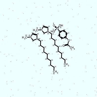 CC(=O)Oc1ccc(P(=O)(O)O)cc1.CCCCCCCCCCN1C=CN(C)C1.CCCCCCCCCCN1C=CN(C)C1